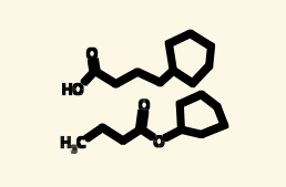 CCCC(=O)OC1CCCCC1.O=C(O)CCCC1CCCCC1